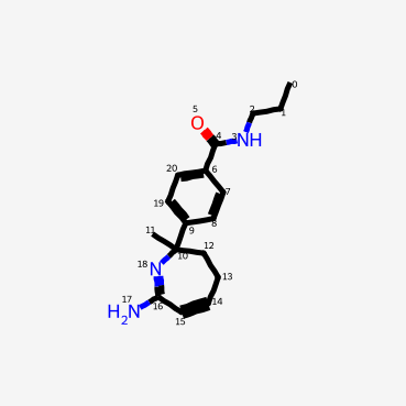 CCCNC(=O)c1ccc(C2(C)CCC#CC(N)=N2)cc1